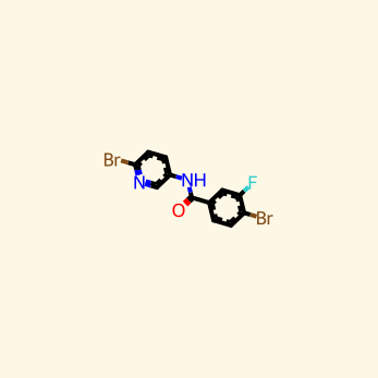 O=C(Nc1ccc(Br)nc1)c1ccc(Br)c(F)c1